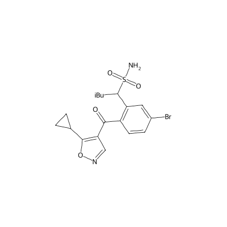 CCC(C)C(c1cc(Br)ccc1C(=O)c1cnoc1C1CC1)S(N)(=O)=O